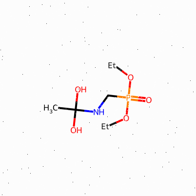 CCOP(=O)(CNC(C)(O)O)OCC